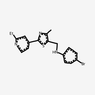 CCc1cc(-c2nc(C)c(CNc3ccc(Br)cc3)s2)ccn1